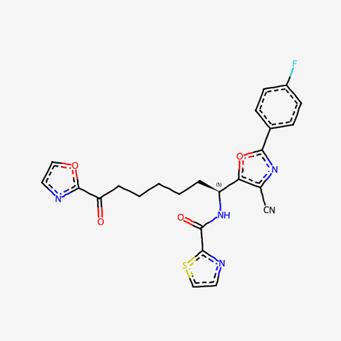 N#Cc1nc(-c2ccc(F)cc2)oc1[C@H](CCCCCC(=O)c1ncco1)NC(=O)c1nccs1